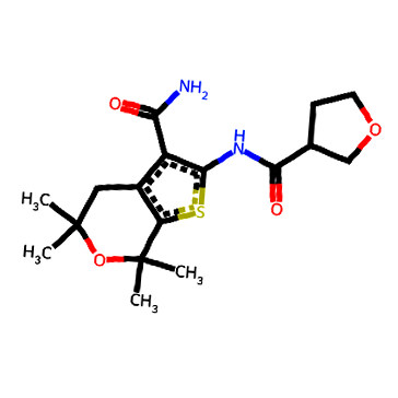 CC1(C)Cc2c(sc(NC(=O)C3CCOC3)c2C(N)=O)C(C)(C)O1